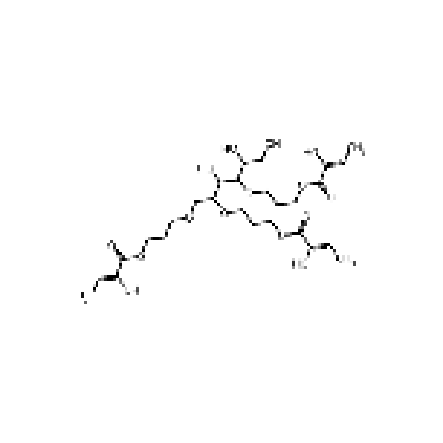 CC=C(O)C(=O)OCCCOCC(OCCCOC(=O)C(O)=CC)C(O)C(OCCCOC(=O)C(O)=CC)C(O)CO